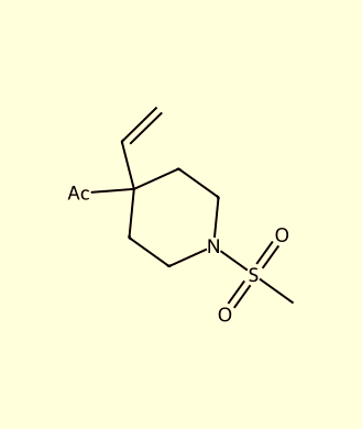 C=CC1(C(C)=O)CCN(S(C)(=O)=O)CC1